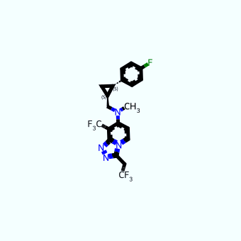 CN(C[C@H]1C[C@@H]1c1ccc(F)cc1)c1ccn2c(CC(F)(F)F)nnc2c1C(F)(F)F